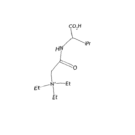 CC[N+](CC)(CC)CC(=O)NC(C(=O)O)C(C)C